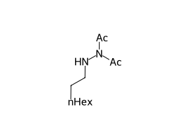 CCCCCCCCNN(C(C)=O)C(C)=O